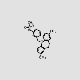 COc1ccc2c(c1)CCc1cc(C)ccc1[C@@H]2Cc1cccc(NS(C)(=O)=O)c1